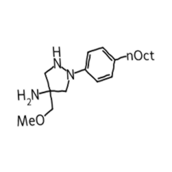 CCCCCCCCc1ccc(N2CC(N)(COC)CN2)cc1